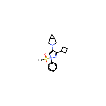 CS(=O)(=O)[N+]1(c2ccccc2)C=C(N2CC3CC3C2)C(C2CCC2)=N1